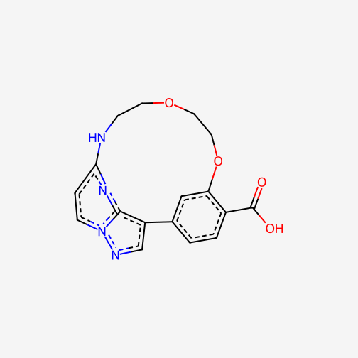 O=C(O)c1ccc2cc1OCCOCCNc1ccn3ncc-2c3n1